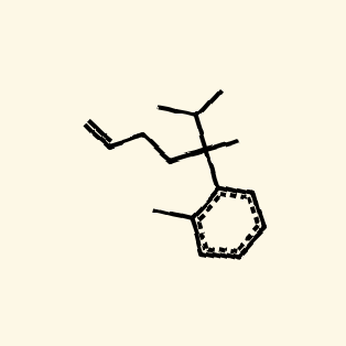 C=CCCC(C)(c1ccccc1C)C(C)C